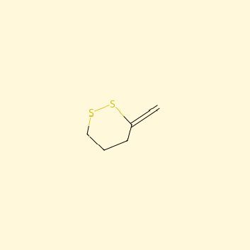 C=C1CCCSS1